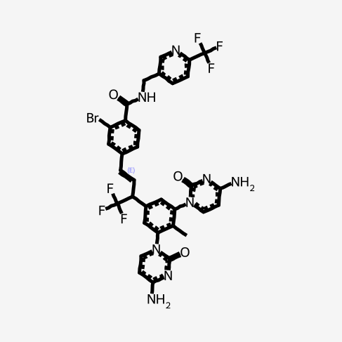 Cc1c(-n2ccc(N)nc2=O)cc(C(/C=C/c2ccc(C(=O)NCc3ccc(C(F)(F)F)nc3)c(Br)c2)C(F)(F)F)cc1-n1ccc(N)nc1=O